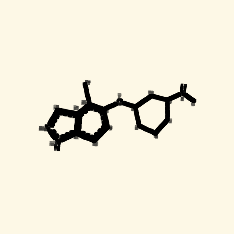 CNC1CCCC(Oc2ccc3[nH]ncc3c2C)C1